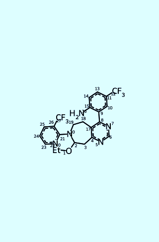 CCOC1Cc2ncnc(-c3cc(C(F)(F)F)ccc3N)c2CCN1c1ncccc1C(F)(F)F